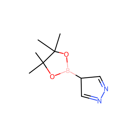 CC1(C)OB(C2C=NN=C2)OC1(C)C